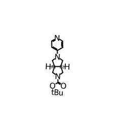 CC(C)(C)OC(=O)N1C[C@@H]2CN(c3ccncc3)C[C@@H]2C1